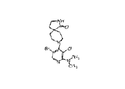 CN(P)c1ncc(Br)c(N2CCC3(CCNC3=O)CC2)c1Cl